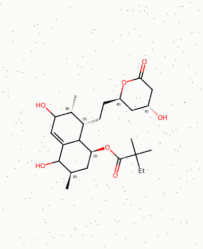 CCC(C)(C)C(=O)O[C@H]1C[C@@H](C)C(O)C2=CC(O)[C@H](C)[C@H](CC[C@@H]3C[C@@H](O)CC(=O)O3)C21